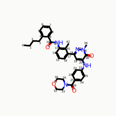 CCCCc1ccccc1C(=O)Nc1cccc(-c2cc(Nc3ccc(C(=O)N4CCOCC4)cc3)c(=O)n(C)n2)c1C